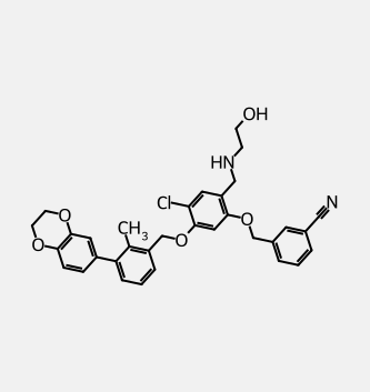 Cc1c(COc2cc(OCc3cccc(C#N)c3)c(CNCCO)cc2Cl)cccc1-c1ccc2c(c1)OCCO2